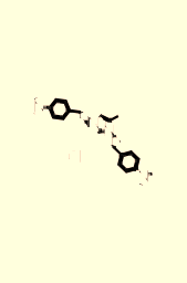 Cc1c[n+](/N=C/c2ccc(N(C)C)cc2)cn1/N=C/c1ccc(N(C)C)cc1.[Cl-]